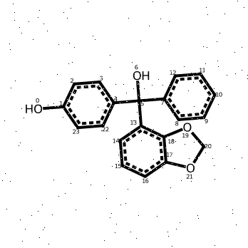 Oc1ccc(C(O)(c2ccccc2)c2cccc3c2OCO3)cc1